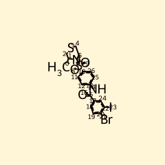 CC1CSCCN1S(=O)(=O)c1ccc(NC(=O)c2ccc(Br)c(I)c2)cc1